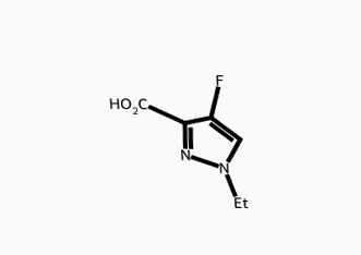 CCn1cc(F)c(C(=O)O)n1